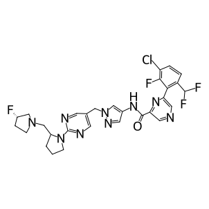 O=C(Nc1cnn(Cc2cnc(N3CCCC3CN3CC[C@H](F)C3)nc2)c1)c1cncc(-c2c(C(F)F)ccc(Cl)c2F)n1